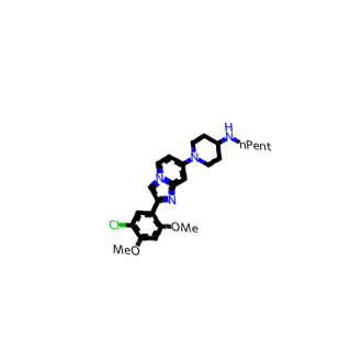 CCCCCNC1CCN(c2ccn3cc(-c4cc(Cl)c(OC)cc4OC)nc3c2)CC1